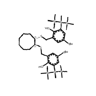 CC(C)(C)c1cc(CS[C@H]2CCCCCC[C@@H]2SCc2cc(C(C)(C)C)cc([Si](C)([Si](C)(C)C)[Si](C)(C)C)c2O)c(O)c([Si](C)([Si](C)(C)C)[Si](C)(C)C)c1